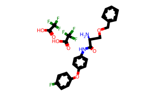 N[C@@H](COCc1ccccc1)C(=O)Nc1ccc(Oc2ccc(F)cc2)cc1.O=C(O)C(F)(F)F.O=C(O)C(F)(F)F